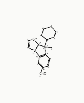 C[N+]1(C2CCCCC2)c2ccc(C=O)cc2N2C=CSC21